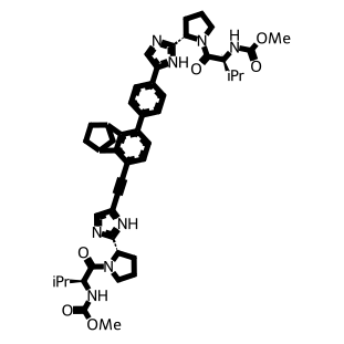 COC(=O)N[C@H](C(=O)N1CCC[C@H]1c1ncc(C#Cc2ccc(-c3ccc(-c4cnc([C@@H]5CCCN5C(=O)[C@@H](NC(=O)OC)C(C)C)[nH]4)cc3)c3c2C2CCC3C2)[nH]1)C(C)C